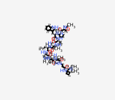 Cc1nc(C(=O)N2CCC[C@H]2N(C=O)[C@@H](Cc2c[nH]c3ccccc23)C(=O)N[C@@H](CC(C)C)C(=O)NC(C)(C)C(=O)N[C@@H](CC(C)C)C(=O)N[C@@H](CC(C)C)C(=O)NC(C)(C)C(=O)NC(C)(C)C(=O)NCCC(=O)NC2(CN(C)C)CCC2)co1